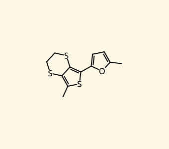 Cc1ccc(-c2sc(C)c3c2SCCS3)o1